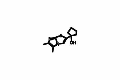 Cc1nc2sc(C3(O)CCCC3)cn2c1C